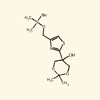 CC1(C)OCC(O)(c2nc(CO[Si](C)(C)C(C)(C)C)cs2)CO1